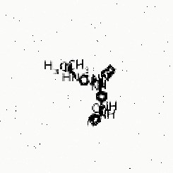 CN(C)CCNC1CCN(c2nc(-c3ccc(NC(=O)Nc4ccncc4)cc3)nc(N3CC4CCC(C3)O4)n2)CC1